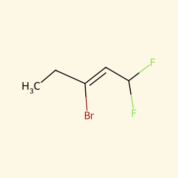 CC/C(Br)=C/C(F)F